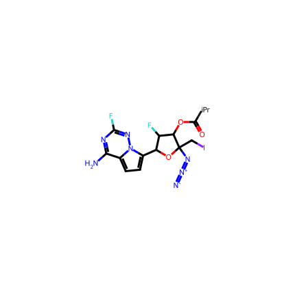 CC(C)C(=O)OC1C(F)C(c2ccc3c(N)nc(F)nn23)OC1(CI)N=[N+]=[N-]